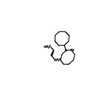 C1CCCC(N2CCCCCCN2)CCC1.O=C(O)C=CC(=O)O